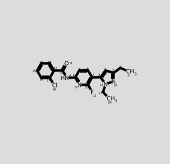 CCc1cc(-c2ccc(NC(=O)c3ccccc3Cl)nc2F)n(CC)n1